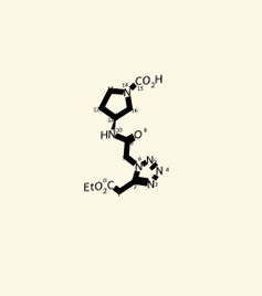 CCOC(=O)Cc1nnnn1CC(=O)N[C@H]1CCN(C(=O)O)C1